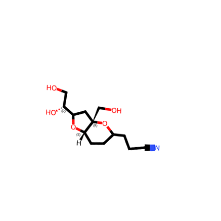 N#CCCC1CC[C@@H]2OC([C@H](O)CO)C[C@]2(CO)O1